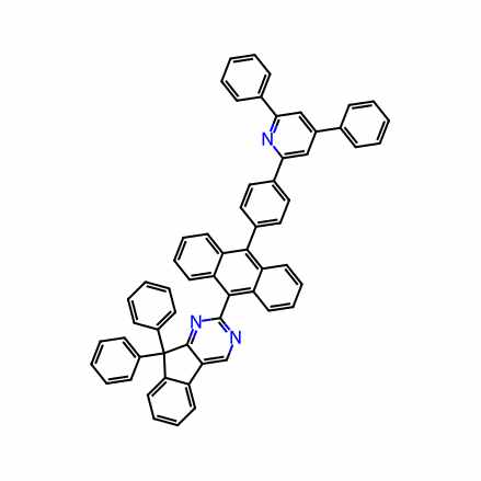 c1ccc(-c2cc(-c3ccccc3)nc(-c3ccc(-c4c5ccccc5c(-c5ncc6c(n5)C(c5ccccc5)(c5ccccc5)c5ccccc5-6)c5ccccc45)cc3)c2)cc1